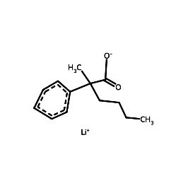 CCCCC(C)(C(=O)[O-])c1ccccc1.[Li+]